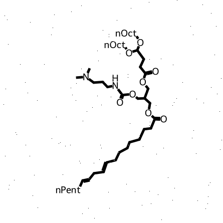 CCCCCC=CCC=CCCCCCCCC(=O)OCC(COC(=O)CCC(OCCCCCCCC)OCCCCCCCC)COC(=O)NCCCN(C)C